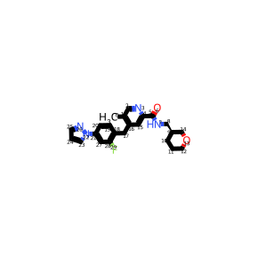 Cc1cnc(C(=O)NC[C@@H]2CCCOC2)cc1Cc1ccc(-n2cccn2)cc1F